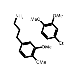 CCc1ccc(OC)c(OC)c1.COc1ccc(CCCN)cc1OC